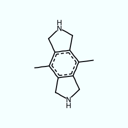 Cc1c2c(c(C)c3c1CNC3)CNC2